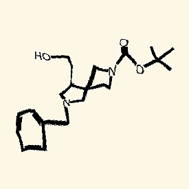 CC(C)(C)OC(=O)N1CC2(CN(Cc3ccccc3)C[C@H]2CO)C1